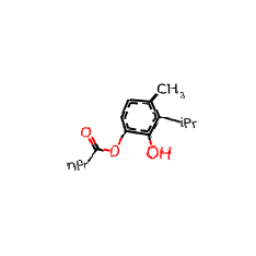 CCCC(=O)Oc1ccc(C)c(C(C)C)c1O